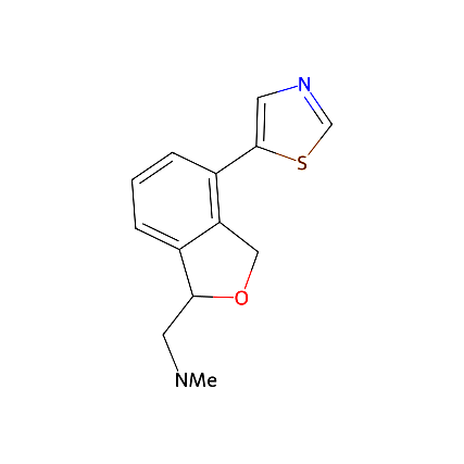 CNCC1OCc2c(-c3cncs3)cccc21